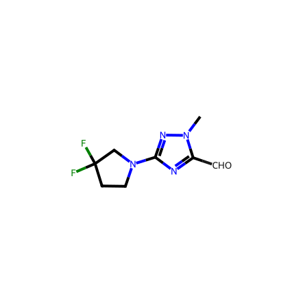 Cn1nc(N2CCC(F)(F)C2)nc1C=O